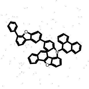 c1ccc(-c2cccc3c2oc2ccc(-c4ccc(N(c5cc6ccccc6c6ccccc56)c5cccc6oc7c8ccccc8ccc7c56)cc4)cc23)cc1